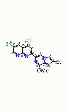 CCc1cn2cc(-c3cc(Cl)c4cc(Br)cnc4n3)nc(OC)c2n1